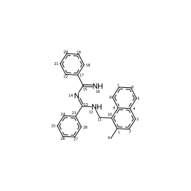 Cc1ccc2ccccc2c1CN/C(=N\C(=N)c1ccccc1)c1ccccc1